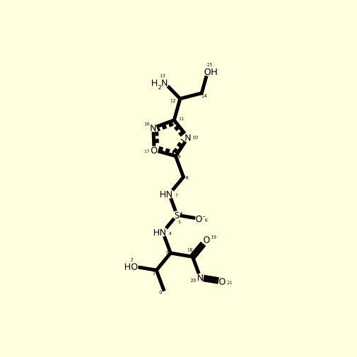 CC(O)C(N[S+]([O-])NCc1nc(C(N)CO)no1)C(=O)N=O